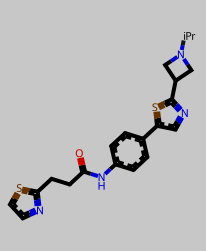 CC(C)N1CC(c2ncc(-c3ccc(NC(=O)CCc4nccs4)cc3)s2)C1